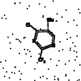 CC(C)(C)c1cnc(C(F)(F)F)nc1Cl